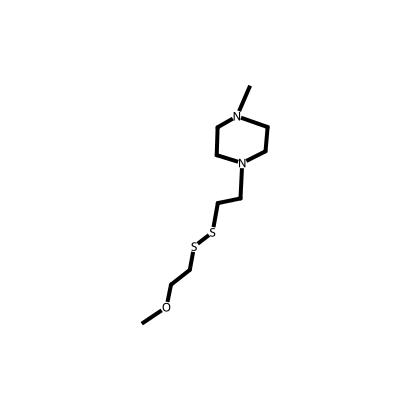 COCCSSCCN1CCN(C)CC1